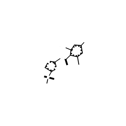 CC(=O)Oc1cc(C)cc(C)c1C(=O)Nc1nc(S(C)(=O)=O)cs1